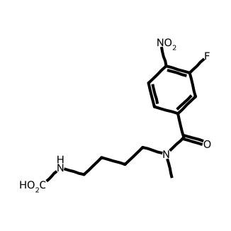 CN(CCCCNC(=O)O)C(=O)c1ccc([N+](=O)[O-])c(F)c1